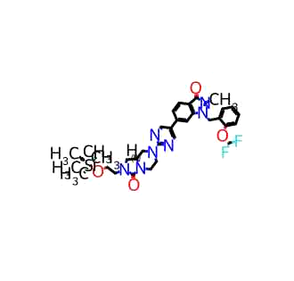 Cn1c(=O)c2ccc(-c3cnc(N4CCN5C(=O)N(CCO[Si](C)(C)C(C)(C)C)C[C@H]5C4)nc3)cc2n1Cc1ccccc1OC(F)F